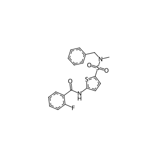 CN(Cc1ccccc1)S(=O)(=O)c1ccc(NC(=O)c2ccccc2F)s1